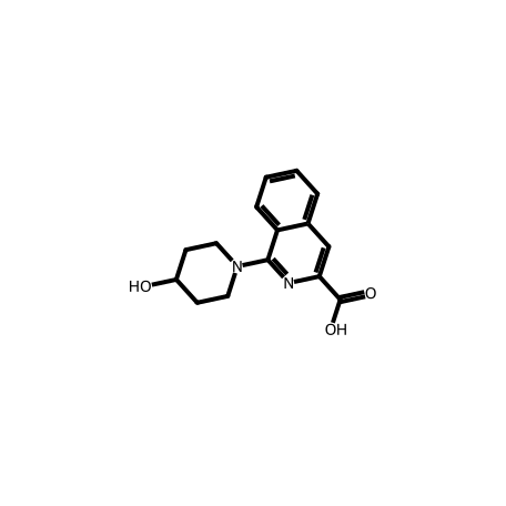 O=C(O)c1cc2ccccc2c(N2CCC(O)CC2)n1